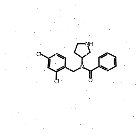 O=C(c1ccccc1)N(Cc1ccc(Cl)cc1Cl)C1CCNC1